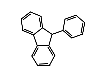 [c]1ccc2c(c1)C(c1ccccc1)c1ccccc1-2